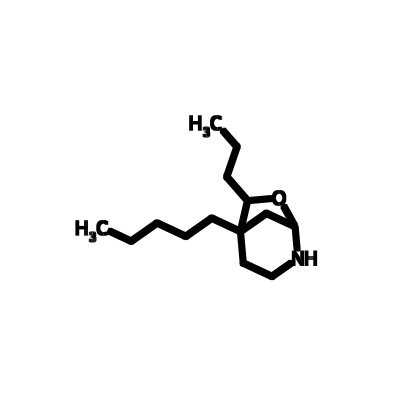 CCCCCC12CCNC(C1)OC2CCC